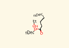 CCCCCCCCCCCCCC(=O)OCCCCCCCCCC.CCO